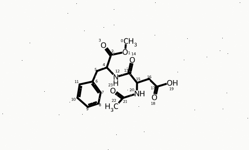 COC(=O)C(Cc1ccccc1)NC(=O)C(CC(=O)O)NC(C)=O